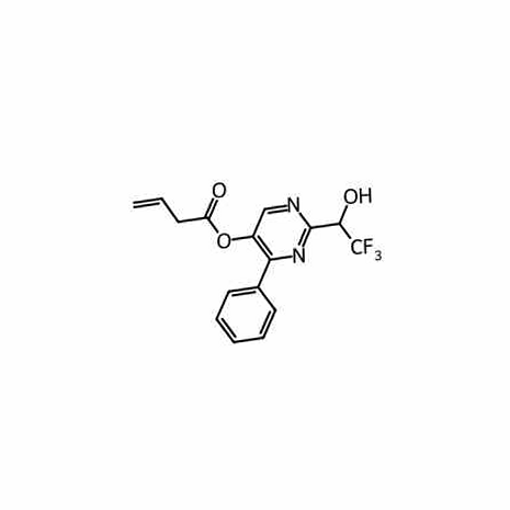 C=CCC(=O)Oc1cnc(C(O)C(F)(F)F)nc1-c1ccccc1